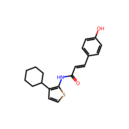 O=C(C=Cc1ccc(O)cc1)Nc1sccc1C1CCCCC1